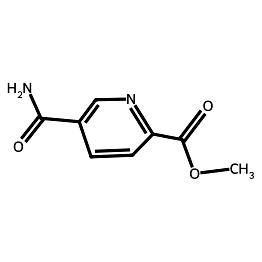 COC(=O)c1ccc(C(N)=O)cn1